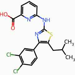 CC(C)Cc1sc(Nc2cccc(C(=O)O)n2)nc1-c1ccc(Cl)c(Cl)c1